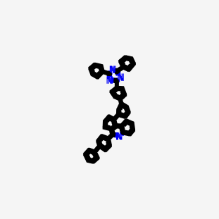 c1ccc(-c2ccc(-c3nc4ccccc4c4c(-c5cccc(-c6ccc(-c7nc(-c8ccccc8)nc(-c8ccccc8)n7)cc6)c5)cccc34)cc2)cc1